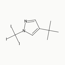 CC(C)(C)c1cnn(C(I)(I)I)c1